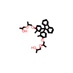 Cc1cc(C2(c3ccc(OCC(C)OCC(C)O)c(C)c3)c3ccccc3-c3ccccc32)ccc1OCC(C)OCC(C)O